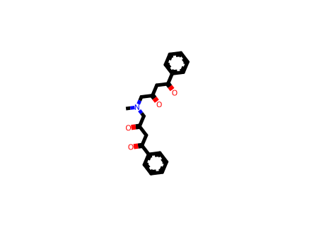 CN(CC(=O)CC(=O)c1ccccc1)CC(=O)CC(=O)c1ccccc1